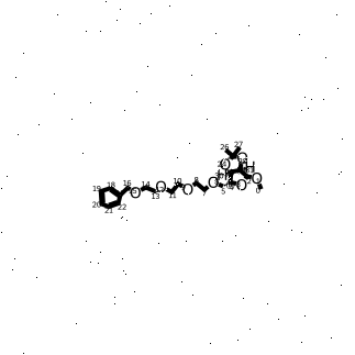 COC1O[C@H](COCCOCCOCCOCc2ccccc2)[C@H]2OC(C)(C)O[C@@H]12